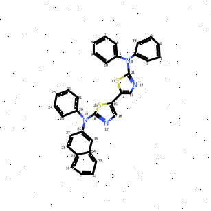 c1ccc(N(c2ccccc2)c2ncc(-c3cnc(N(c4ccccc4)c4ccc5ccccc5c4)s3)s2)cc1